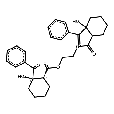 O=C(OCCOC(=O)[C@H]1CCCC[C@]1(O)C(=O)c1ccccc1)C1CCCCC1(O)C(=O)c1ccccc1